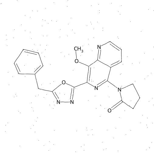 COc1c(-c2nnc(Cc3ccccc3)o2)nc(N2CCCC2=O)c2cccnc12